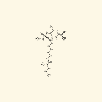 NOS(=O)(=O)OC1C(O)CC(C(=O)O)OC1OCCCCCCNC(O)CCO